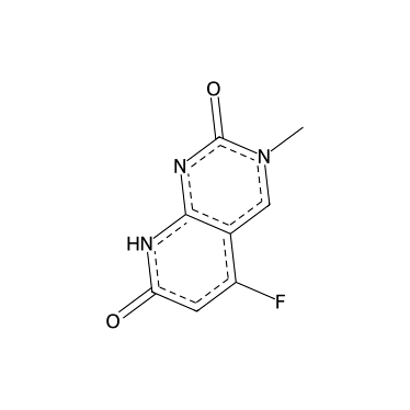 Cn1cc2c(F)cc(=O)[nH]c2nc1=O